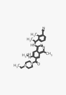 CCN1CCN(C(=O)c2cc3c(C)nnc(NC(C)c4cccc(C#N)c4C)c3cc2NC)CC1